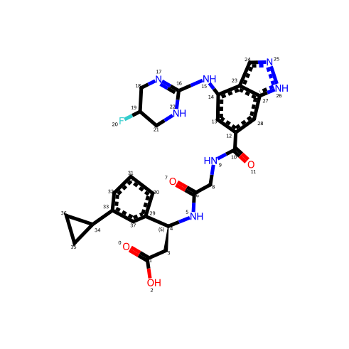 O=C(O)C[C@H](NC(=O)CNC(=O)c1cc(NC2=NCC(F)CN2)c2cn[nH]c2c1)c1cccc(C2CC2)c1